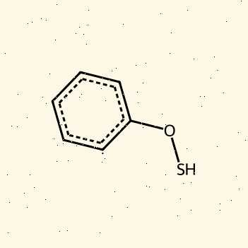 SOc1[c]cccc1